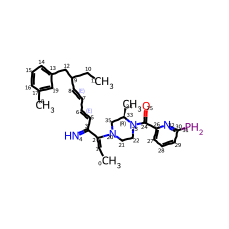 CC=C(C(=N)/C=C/C=C/C(CC)Cc1cccc(C)c1)N1CCN(C(=O)c2cccc(P)n2)[C@H](C)C1